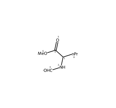 CCCC(N[C]=O)C(=O)OC